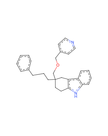 c1ccc(CCCC2(COCc3ccncc3)CCc3[nH]c4ccccc4c3C2)cc1